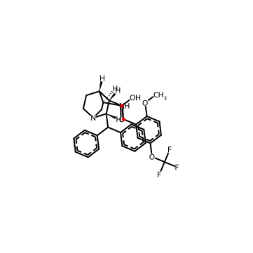 COc1ccc(OC(F)(F)F)cc1CN[C@H]1[C@H]2CCN(C[C@@H]2C(=O)O)[C@H]1C(c1ccccc1)c1ccccc1